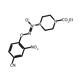 CCOC(=O)N1CCN(/[N+]([O-])=N/Oc2ccc(C#N)cc2[N+](=O)[O-])CC1